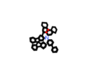 c1ccc(-c2ccc(N(c3ccc4c(c3)CCCC4)c3cc4c(cc3-c3ccc5c(c3)CCCC5)-c3ccccc3C43c4ccccc4-c4ccccc43)cc2)cc1